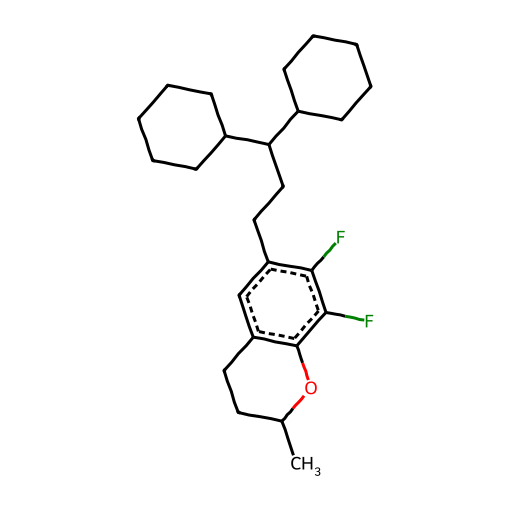 CC1CCc2cc(CCC(C3CCCCC3)C3CCCCC3)c(F)c(F)c2O1